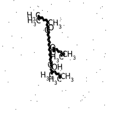 CC(C)=CCCC(C)CC(=O)OCCCCCCC(CCCCCCOC(O)CC(C)CCC=C(C)C)OC(=O)CCCN(C)C